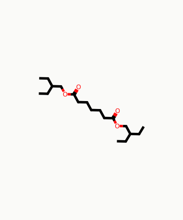 CCC(CC)COC(=O)CCCCCC(=O)OCC(CC)CC